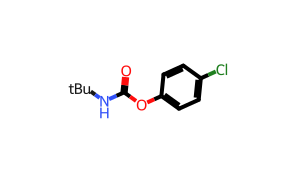 CC(C)(C)NC(=O)Oc1ccc(Cl)cc1